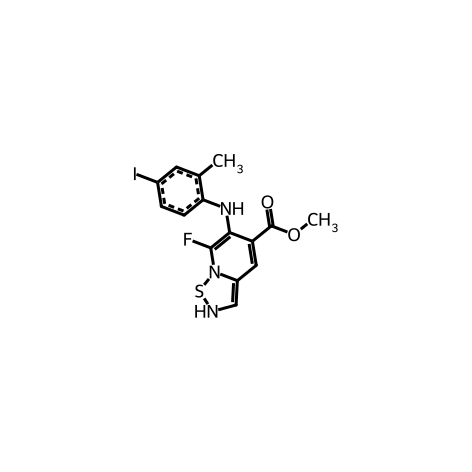 COC(=O)C1=CC2=CNSN2C(F)=C1Nc1ccc(I)cc1C